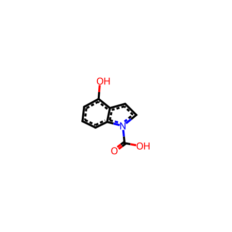 O=C(O)n1ccc2c(O)cccc21